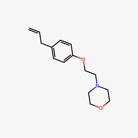 C=CCc1ccc(OCCN2CCOCC2)cc1